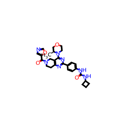 C[C@H]1COCCN1c1nc(-c2ccc(NC(=O)NC3CCC3)cc2)nc2c1CN(C(=O)c1cnco1)CC2